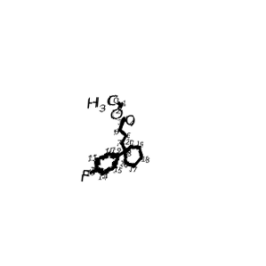 CCOC(=O)CCCC1(c2ccc(F)cc2)CCCCC1